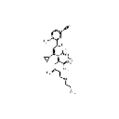 C=C(CCNCCC)C/C(C(=C)C)=C(C(=C/C(C)c1cc(C#N)ccc1C)\C1CC1)/C(C)=N\C